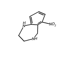 O=[N+]([O-])c1cccc2c1CNCCN2